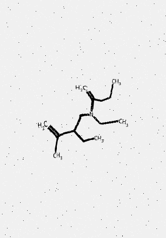 C=C(C)C(CC)CN(CC)C(=C)CC